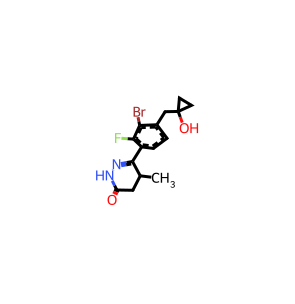 CC1CC(=O)NN=C1c1ccc(CC2(O)CC2)c(Br)c1F